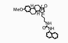 COc1ccc2c(c1)CC[C@H]1[C@@H]3[C@H](CCCNC(=O)Nc4cccc5ccccc45)CC(=O)[C@@]3(C)CC[C@H]21